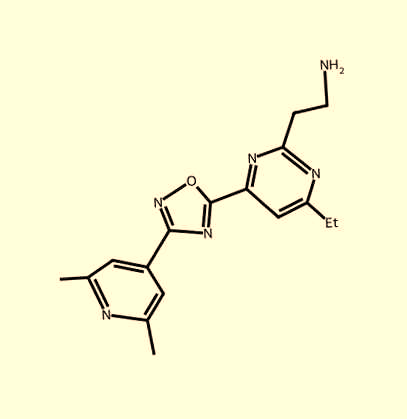 CCc1cc(-c2nc(-c3cc(C)nc(C)c3)no2)nc(CCN)n1